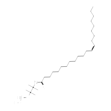 CCCCCCCC/C=C\CCCCCCCCCCCC(=O)NC(C)(C)C(C)(C)OPO